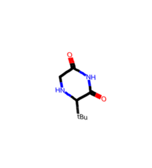 CC(C)(C)C1NCC(=O)NC1=O